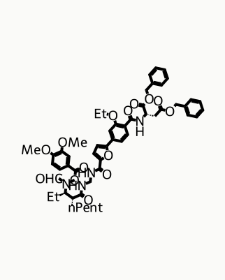 CCCCC[C@@H](C(=O)NCNC(=O)c1ccc(-c2ccc(C(=O)N[C@@H](CC(=O)OCc3ccccc3)C(=O)OCc3ccccc3)c(OCC)c2)o1)[C@@H](CC)N(C=O)OC(=O)c1ccc(OC)c(OC)c1